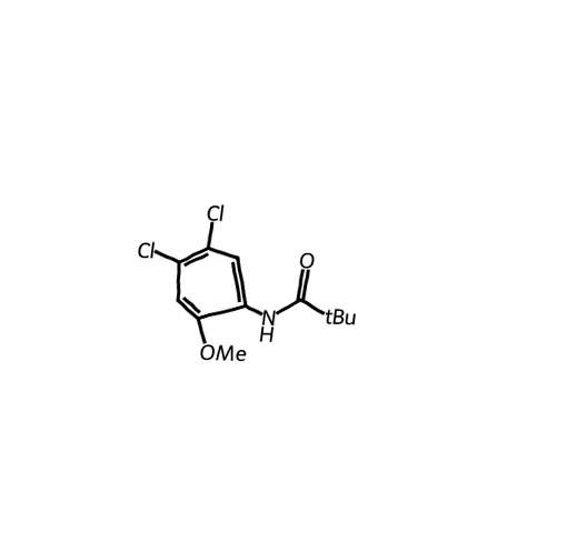 COc1cc(Cl)c(Cl)cc1NC(=O)C(C)(C)C